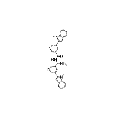 Cn1c(-c2cncc(C(=O)NC(N)c3cncc(-c4cc5ccccc5n4C)c3)c2)cc2ccccc21